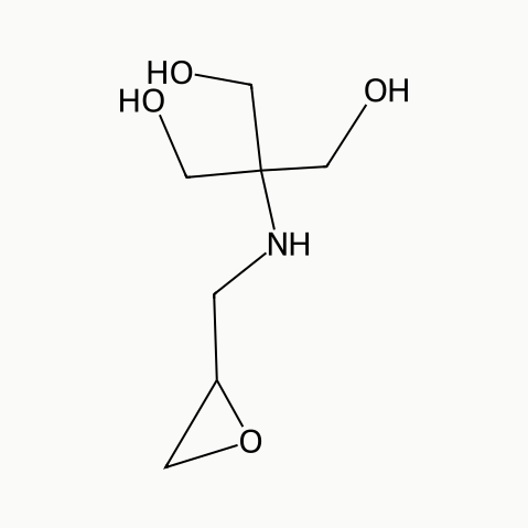 OCC(CO)(CO)NCC1CO1